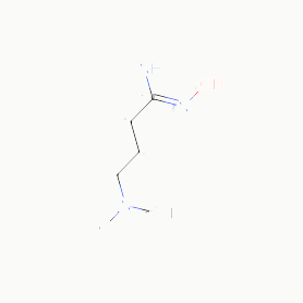 CN(C)CCCC(N)=NO